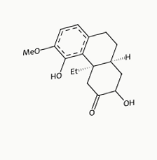 CC[C@@]12CC(=O)C(O)C[C@@H]1CCc1ccc(OC)c(O)c12